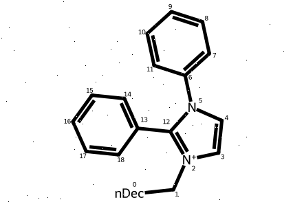 CCCCCCCCCCC[n+]1ccn(-c2ccccc2)c1-c1ccccc1